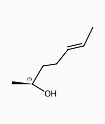 CC=CCC[C@H](C)O